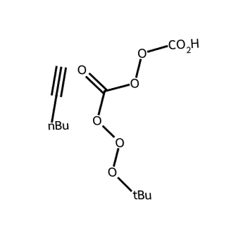 C#CCCCC.CC(C)(C)OOOC(=O)OOC(=O)O